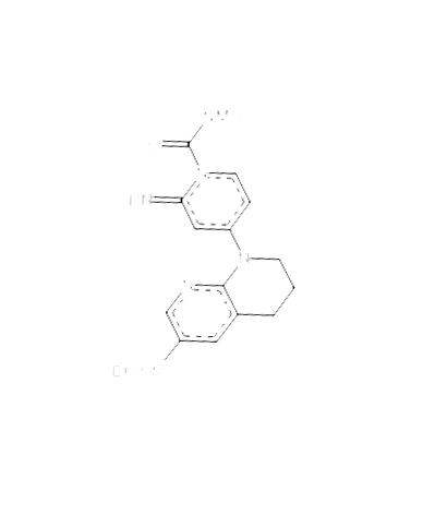 CCOC(=O)c1cnc2c(c1)CCCN2c1ccn(C(=O)NC)c(=N)c1